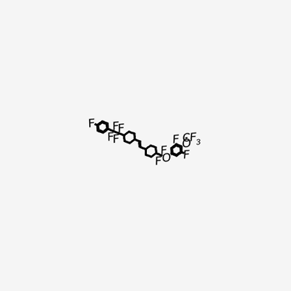 Fc1ccc(C(F)(F)C(F)(F)C2CCC(/C=C/C3CCC(C(F)(F)Oc4cc(F)c(OC(F)(F)F)c(F)c4)CC3)CC2)cc1